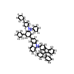 c1ccc(-c2ccc(N(c3ccccc3)c3cc(-c4ccccc4)cc(-c4ccc5c(c4)c4ccccc4n5-c4ccc5c(c4)C(c4ccccc4)(c4ccccc4)c4ccccc4-5)c3)cc2)cc1